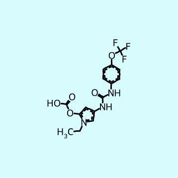 CCn1cc(NC(=O)Nc2ccc(OC(F)(F)F)cc2)cc1OC(=O)O